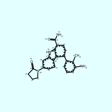 Cc1c(N)cccc1-c1ccc(C(N)=O)c2[nH]c3cc(N4CCCC4=O)ccc3c12